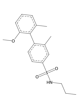 CCCNS(=O)(=O)c1ccc(-c2c(C)cccc2OC)c(C)c1